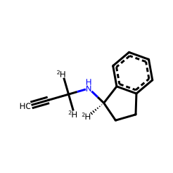 [2H]C([2H])(C#C)N[C@]1([2H])CCc2ccccc21